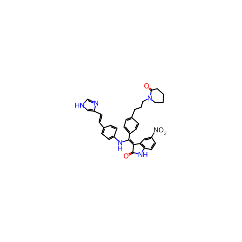 O=C1Nc2ccc([N+](=O)[O-])cc2C1=C(Nc1ccc(C=Cc2c[nH]cn2)cc1)c1ccc(CCCN2CCCCC2=O)cc1